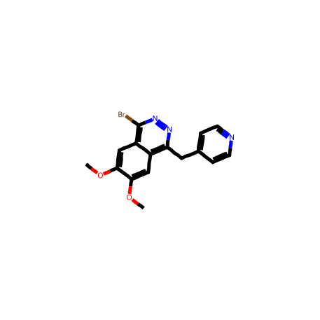 COc1cc2c(Br)nnc(Cc3ccncc3)c2cc1OC